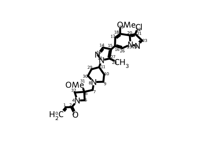 C=CC(=O)N1CC(CN2CCC(n3ncc(-c4cc(OC)c5c(Cl)cnn5c4)c3C)CC2)(OC)C1